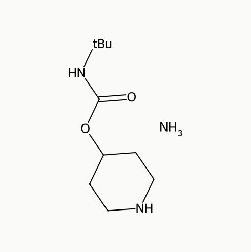 CC(C)(C)NC(=O)OC1CCNCC1.N